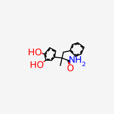 CC(Cc1ccccc1)(C(N)=O)c1ccc(O)c(O)c1